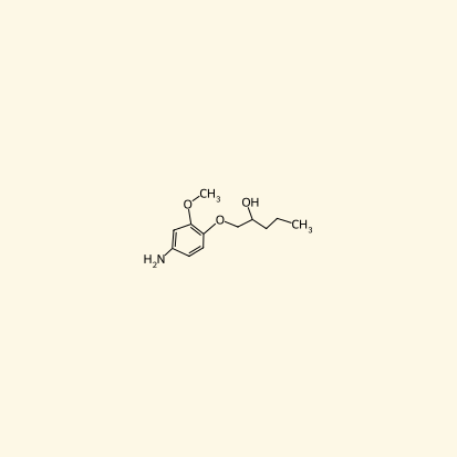 CCCC(O)COc1ccc(N)cc1OC